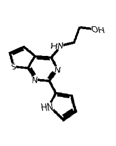 OCCNc1nc(-c2ccc[nH]2)nc2sccc12